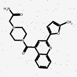 Cc1ccc(-c2cc(C(=O)N3CCN(CC(N)=O)CC3)c3ccccc3n2)o1